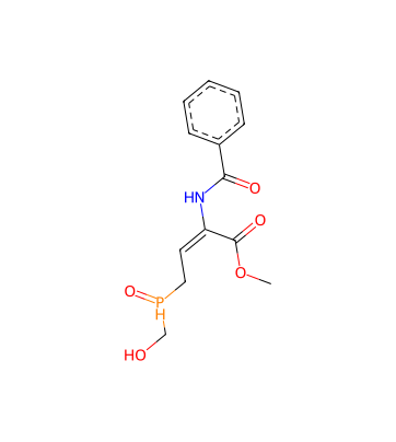 COC(=O)C(=CC[PH](=O)CO)NC(=O)c1ccccc1